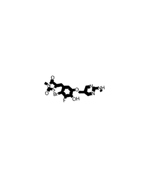 CNc1ncc(COc2cc(/C=C3\SC(=O)N(C)C3=O)c(Br)c(F)c2O)cn1